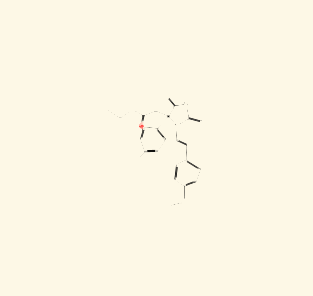 CCOC(=O)CC1(c2ccc(F)cc2)C(=O)NC(=S)N1C=Cc1ccc(OC)cc1